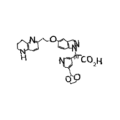 O=C(O)C[C@@H](c1cncc(C2OCCO2)c1)n1ncc2cc(OCCc3ccc4c(n3)CCCN4)ccc21